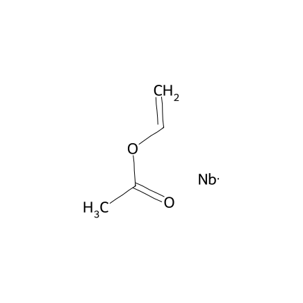 C=COC(C)=O.[Nb]